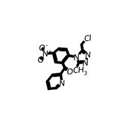 Cc1nnc(CCl)n1-c1ccc([N+](=O)[O-])cc1C(=O)c1ccccn1